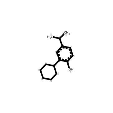 CC(C)c1ccc(O)c(C2CCCCC2)c1